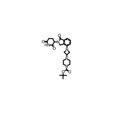 CC(C)(C)OC(=O)N1CCN(C2CN(c3cccc4c3CN(C3CCC(=O)NC3=O)C4=O)C2)CC1